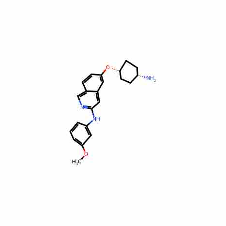 COc1cccc(Nc2cc3cc(O[C@H]4CC[C@@H](N)CC4)ccc3cn2)c1